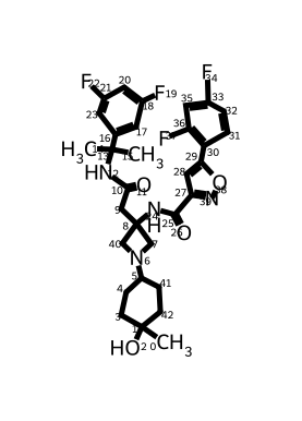 CC1(O)CCC(N2CC(CC(=O)NC(C)(C)c3cc(F)cc(F)c3)(NC(=O)c3cc(-c4ccc(F)cc4F)on3)C2)CC1